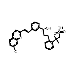 CC(C)(CS(=O)(=O)O)c1ccccc1CC[C@H](O)c1cccc(C=Cc2ccc3ccc(Cl)cc3n2)c1